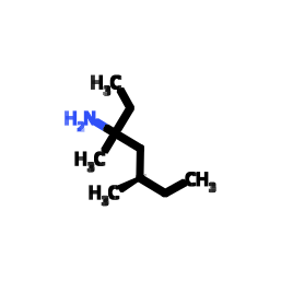 CC[C@@H](C)CC(C)(N)CC